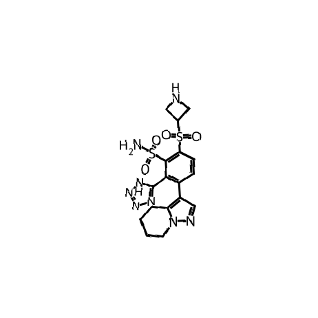 NS(=O)(=O)c1c(S(=O)(=O)C2CNC2)ccc(-c2cnn3c2CCCC3)c1-c1nnn[nH]1